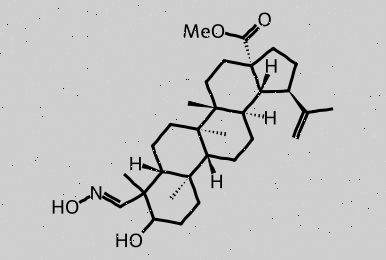 C=C(C)[C@@H]1CC[C@]2(C(=O)OC)CC[C@]3(C)[C@H](CC[C@@H]4[C@@]5(C)CCC(O)C(C)(C=NO)[C@@H]5CC[C@]43C)[C@@H]12